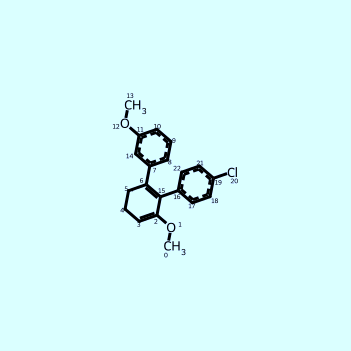 COC1=CC[CH]C(c2cccc(OC)c2)=C1c1ccc(Cl)cc1